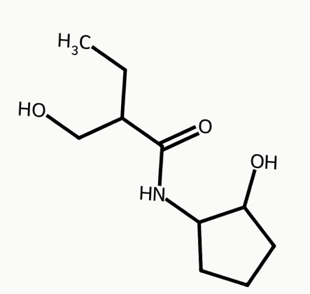 CCC(CO)C(=O)NC1CCCC1O